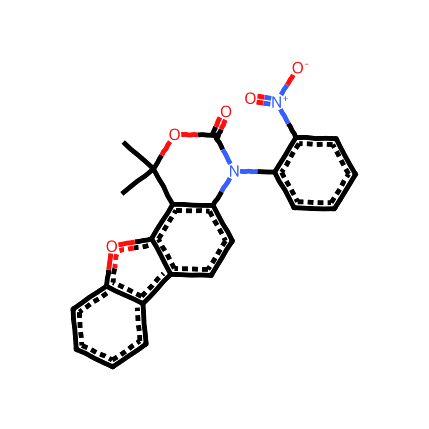 CC1(C)OC(=O)N(c2ccccc2[N+](=O)[O-])c2ccc3c(oc4ccccc43)c21